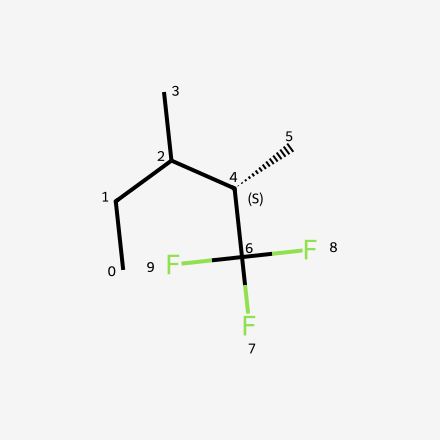 CCC(C)[C@H](C)C(F)(F)F